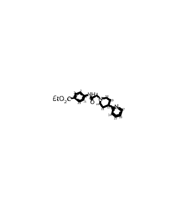 CCOC(=O)c1ccc(NC(=O)CN2CCC(c3ccccn3)CC2)cc1